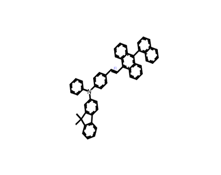 CC1(C)c2ccccc2-c2ccc(N(c3ccccc3)c3ccc(/C=C/c4c5ccccc5c(-c5cccc6ccccc56)c5ccccc45)cc3)cc21